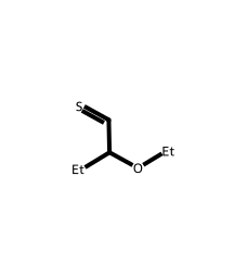 CCOC(C=S)CC